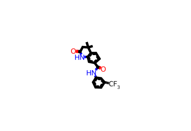 CC1(C)CC(=O)Nc2cc(C(=O)Nc3cccc(C(F)(F)F)c3)ccc21